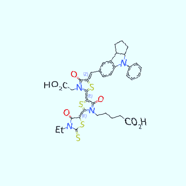 CCN1C(=O)/C(=c2\s/c(=c3/s/c(=C\c4ccc5c(c4)C4CCCC4N5c4ccccc4)c(=O)n3CC(=O)O)c(=O)n2CCCCC(=O)O)SC1=S